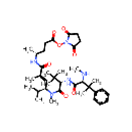 CN[C@H](C(=O)N[C@H](C(=O)N(C)[C@H](/C=C(\C)C(=O)N[C@H](C)CCC(=O)ON1C(=O)CCC1=O)C(C)C)C(C)(C)C)C(C)(C)c1ccccc1